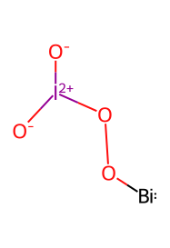 [O-][I+2]([O-])O[O][Bi]